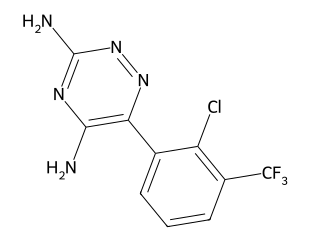 Nc1nnc(-c2cccc(C(F)(F)F)c2Cl)c(N)n1